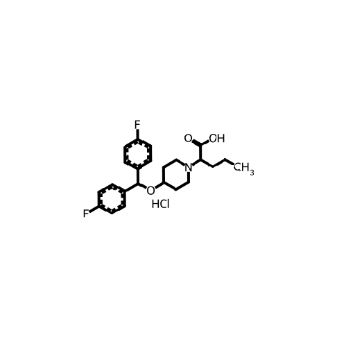 CCCC(C(=O)O)N1CCC(OC(c2ccc(F)cc2)c2ccc(F)cc2)CC1.Cl